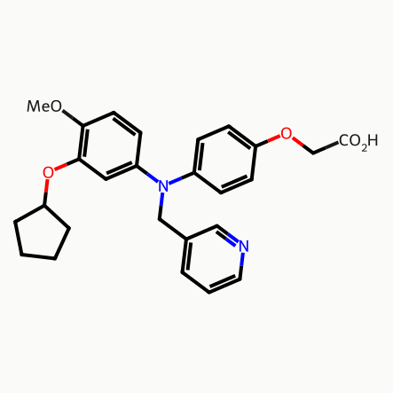 COc1ccc(N(Cc2cccnc2)c2ccc(OCC(=O)O)cc2)cc1OC1CCCC1